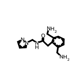 NCc1cccc(CN)c1CC(=O)NCn1cccn1